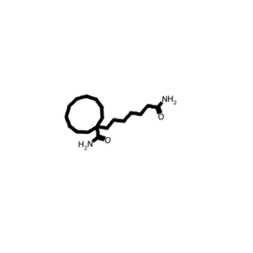 NC(=O)CCCCCCC1(C(N)=O)CCCCCCCCCC1